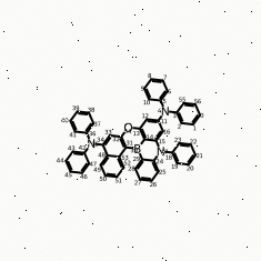 c1ccc(N(c2ccccc2)c2cc3c4c(c2)N(c2ccccc2)c2ccccc2B4c2c(cc(N(c4ccccc4)c4ccccc4)c4ccccc24)O3)cc1